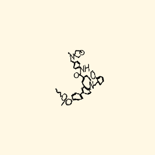 CCCCOC(C)Oc1ccc(-c2ccc3c(c2)C=C(C(=O)Nc2ccc(CN(C)C4CCOCC4)cc2)CCN3Cc2ccccc2OC)cc1